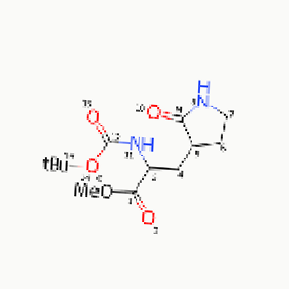 COC(=O)C(CC1CCNC1=O)NC(=O)OC(C)(C)C